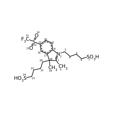 CC1=[N+](CCCCS(=O)(=O)O)c2ccc(S(=O)(=O)C(F)(F)F)cc2C1(C)CCCCS(=O)(=O)O